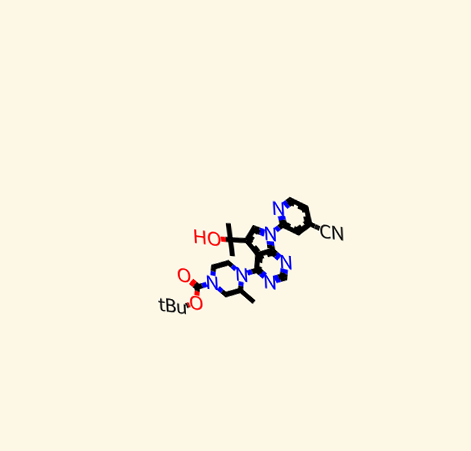 CC1CN(C(=O)OC(C)(C)C)CCN1c1ncnc2c1c(C(C)(C)O)cn2-c1cc(C#N)ccn1